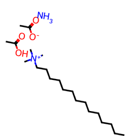 CC(=O)O.CC(=O)[O-].CCCCCCCCCCCCCC[N+](C)(C)C.N